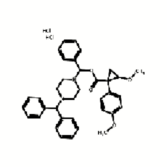 COc1ccc([C@]2(C(=O)OC(c3ccccc3)N3CCN(C(c4ccccc4)c4ccccc4)CC3)C[C@H]2OC)cc1.Cl.Cl